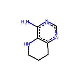 Nc1ncnc2c1NCCC2